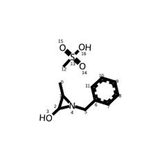 CC1C(O)N1Cc1ccccc1.CS(=O)(=O)O